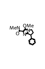 CNC(=O)c1nc2n(c1OC)CCC2c1ccccc1